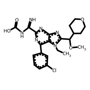 CCn1c(C(OC)C2CCOCC2)nc2nc(C(=N)NC(=O)O)nc(-c3cccc(Cl)c3)c21